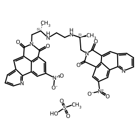 CS(=O)(=O)O.C[C@@H](CN1C(=O)c2cc([N+](=O)[O-])cc3c2c(cc2cccnc23)C1=O)NCCN[C@@H](C)CN1C(=O)c2cc([N+](=O)[O-])cc3c2c(cc2cccnc23)C1=O